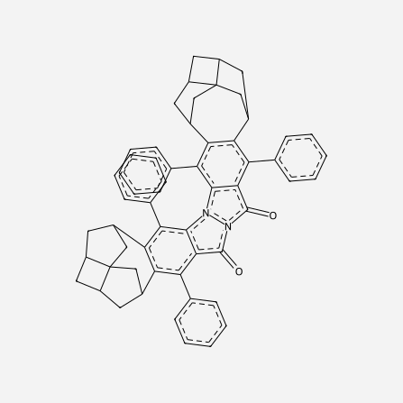 O=c1c2c(-c3ccccc3)c3c(c(-c4ccccc4)c2n2c4c(-c5ccccc5)c5c(c(-c6ccccc6)c4c(=O)n12)C1CC2CC4CC5CC24C1)C1CC2CC4CC3CC42C1